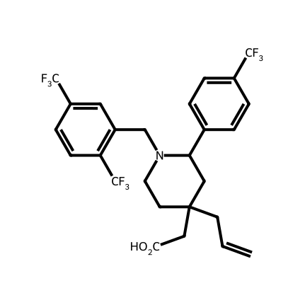 C=CCC1(CC(=O)O)CCN(Cc2cc(C(F)(F)F)ccc2C(F)(F)F)C(c2ccc(C(F)(F)F)cc2)C1